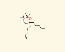 C=CCCCC1(CCCC=C)CC[Si](C)(C)[Si](C)(C)O1